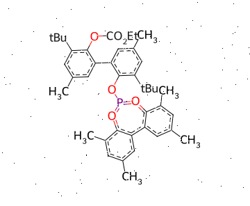 CCOC(=O)Oc1c(-c2cc(C)cc(C(C)(C)C)c2Op2oc3c(C)cc(C)cc3c3cc(C)cc(C)c3o2)cc(C)cc1C(C)(C)C